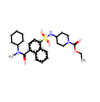 CCOC(=O)N1CCC(NS(=O)(=O)c2ccc(C(=O)N(C)C3CCCCC3)c3ccccc23)CC1